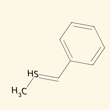 C[SH]=Cc1ccccc1